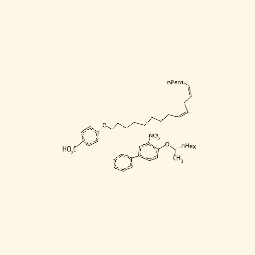 CCCCC/C=C\C/C=C\CCCCCCCCOc1ccc(C(=O)O)cc1.CCCCCC[C@H](C)Oc1ccc(-c2ccccc2)cc1[N+](=O)[O-]